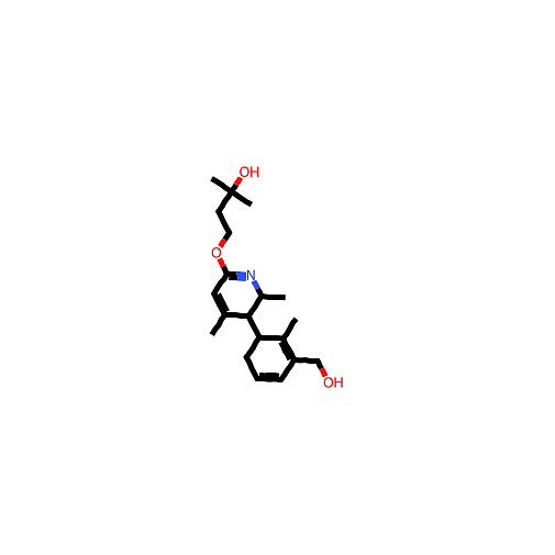 CC1=CC(OCCC(C)(C)O)=NC(C)C1C1CC=CC(CO)=C1C